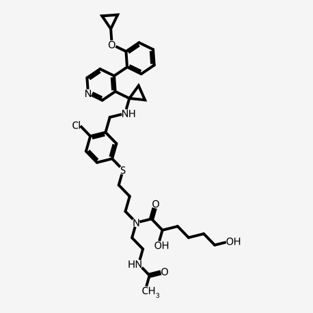 CC(=O)NCCN(CCCSc1ccc(Cl)c(CNC2(c3cnccc3-c3ccccc3OC3CC3)CC2)c1)C(=O)C(O)CCCCO